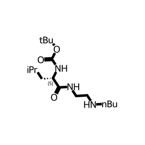 CCCCNCCNC(=O)[C@H](CC(C)C)NC(=O)OC(C)(C)C